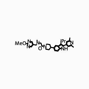 COc1ncc(CN(C)CC(=O)N2CCC(c3ccc4[nH]c(-c5cc(C)nc(C)c5)c(C(C)C)c4c3)CC2)cn1